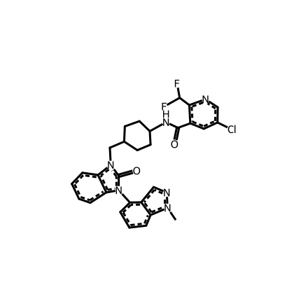 Cn1ncc2c(-n3c(=O)n(CC4CCC(NC(=O)c5cc(Cl)cnc5C(F)F)CC4)c4ccccc43)cccc21